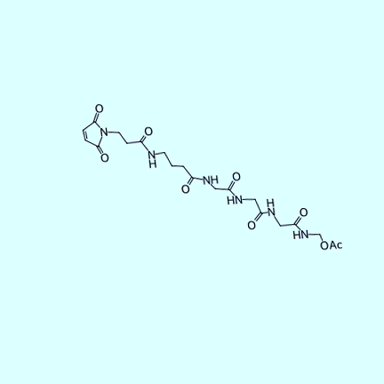 CC(=O)OCNC(=O)CNC(=O)CNC(=O)CNC(=O)CCCNC(=O)CCN1C(=O)C=CC1=O